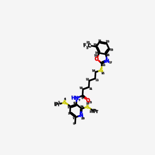 Cc1cc(SC(C)C)c(NC(=O)CCCCCSc2nc3cccc(C(F)(F)F)c3o2)c(SC(C)C)n1